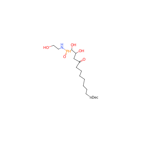 CCCCCCCCCCCCCCCCCC(=O)CC(O)C(O)[PH](=O)NCCO